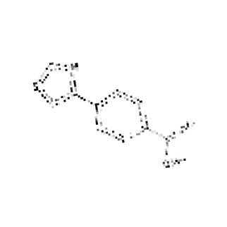 COC(=O)c1ccc(-c2cscn2)cc1